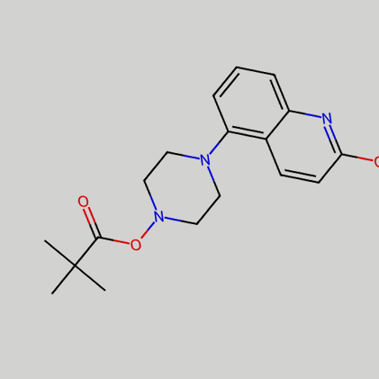 COc1ccc2c(N3CCN(OC(=O)C(C)(C)C)CC3)cccc2n1